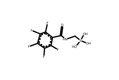 O=C(NC[Si](O)(O)O)c1c(F)c(F)c(F)c(F)c1F